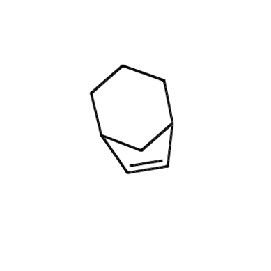 C1=CC2CCCC1C2